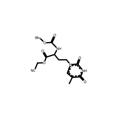 Cc1cn(CCC(NC(=O)OC(C)(C)C)C(=O)OCC#N)c(=O)[nH]c1=O